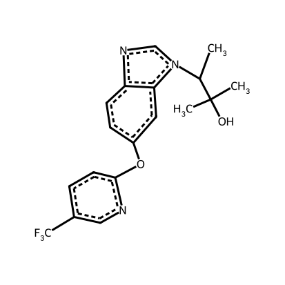 CC(n1cnc2ccc(Oc3ccc(C(F)(F)F)cn3)cc21)C(C)(C)O